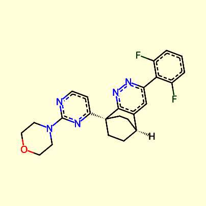 Fc1cccc(F)c1-c1cc2c(nn1)[C@]1(c3ccnc(N4CCOCC4)n3)CC[C@H]2CC1